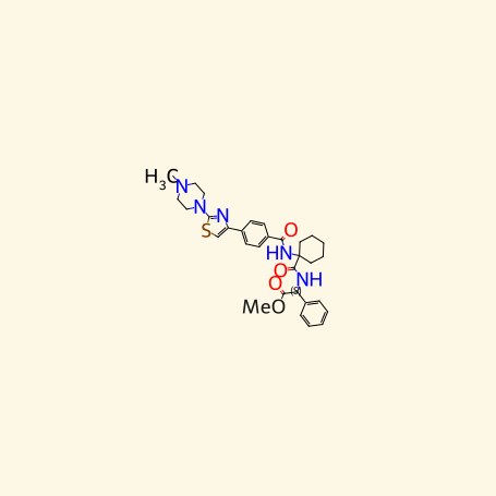 COC(=O)[C@@H](NC(=O)C1(NC(=O)c2ccc(-c3csc(N4CCN(C)CC4)n3)cc2)CCCCC1)c1ccccc1